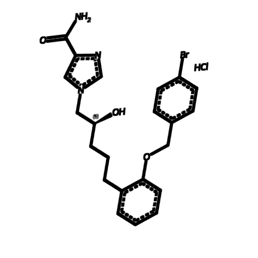 Cl.NC(=O)c1cn(C[C@@H](O)CCCc2ccccc2OCc2ccc(Br)cc2)cn1